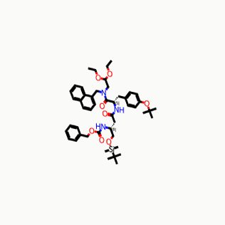 CCOC(CN(Cc1cccc2ccccc12)C(=O)[C@H](Cc1ccc(OC(C)(C)C)cc1)NC(=O)C[C@H](CO[Si](C)(C)C(C)(C)C)NC(=O)OCc1ccccc1)OCC